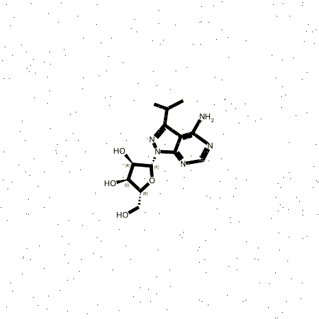 CC(C)c1nn([C@@H]2O[C@H](CO)[C@@H](O)[C@H]2O)c2ncnc(N)c12